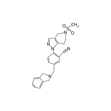 CS(=O)(=O)N1CCc2c(cnn2-c2ccc(CN3Cc4ccccc4C3)cc2C#N)C1